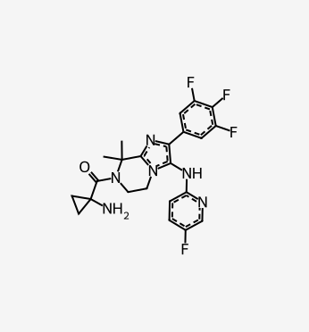 CC1(C)c2nc(-c3cc(F)c(F)c(F)c3)c(Nc3ccc(F)cn3)n2CCN1C(=O)C1(N)CC1